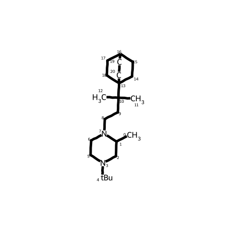 CC1CN(C(C)(C)C)CCN1CCC(C)(C)C12CCC(CC1)CC2